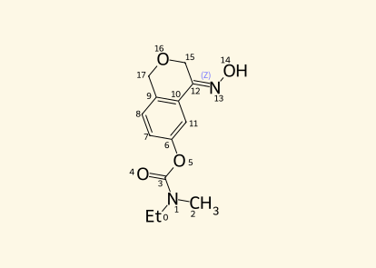 CCN(C)C(=O)Oc1ccc2c(c1)/C(=N/O)COC2